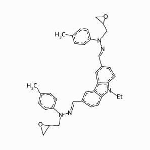 CCn1c2ccc(/C=N/N(CC3CO3)c3ccc(C)cc3)cc2c2cc(/C=N/N(CC3CO3)c3ccc(C)cc3)ccc21